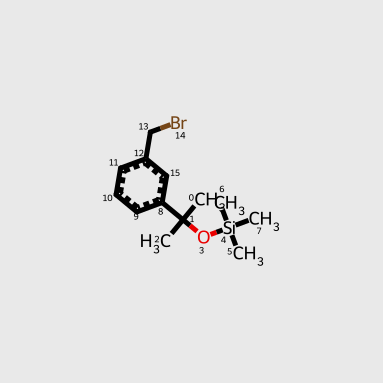 CC(C)(O[Si](C)(C)C)c1cccc(CBr)c1